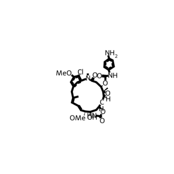 COc1cc2cc(c1Cl)N(C)C(=O)C[C@H](OC(=O)Nc1ccc(N)cc1)[C@]1(C)O[C@H]1C[C@@H]1C[C@@](O)(NC(=O)O1)[C@H](OC)/C=C/C=C(\C)C2